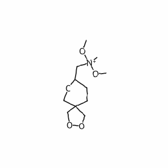 CO[N+](C)(CC1CCC2(CC1)COOC2)OC